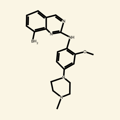 Bc1cccc2cnc(Nc3ccc(N4CCN(C)CC4)cc3OC)nc12